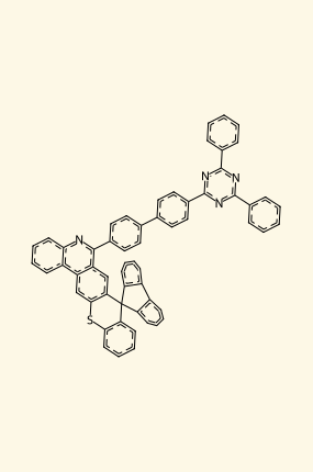 c1ccc(-c2nc(-c3ccccc3)nc(-c3ccc(-c4ccc(-c5nc6ccccc6c6cc7c(cc56)C5(c6ccccc6S7)c6ccccc6-c6ccccc65)cc4)cc3)n2)cc1